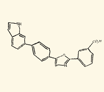 O=C(O)c1cccc(-c2nnc(-c3ccc(-c4ccc5cc[nH]c5c4)cc3)o2)c1